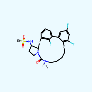 CCS(=O)(=O)NC1CCN2C(=O)N(C)CCCCCc3c(F)cc(F)cc3-c3cccc(c3F)CC12